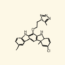 Cc1ccc2[nH]c3c(OCCn4nnnc4C)c4c(cc3c2c1)C1(C)C=C(Cl)C=CC1N4